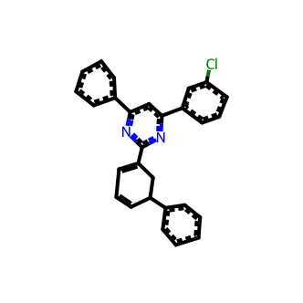 Clc1cccc(-c2cc(-c3ccccc3)nc(C3=CC=CC(c4ccccc4)C3)n2)c1